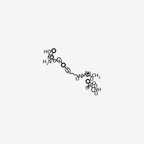 CC(Oc1cccc2c1C(=O)N(C1CCC(=O)NC1=O)C2=O)c1cn(C2CN(C(=O)CCCCN3CCN(c4ccc(N5CCC[C@H](Oc6cc(-c7ccccc7O)nnc6N)C5)cc4)CC3)C2)nn1